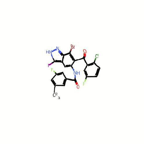 O=C(Nc1cc2c(I)[nH]nc2c(Br)c1C(=O)c1cc(F)ccc1Cl)c1cc(F)cc(C(F)(F)F)c1